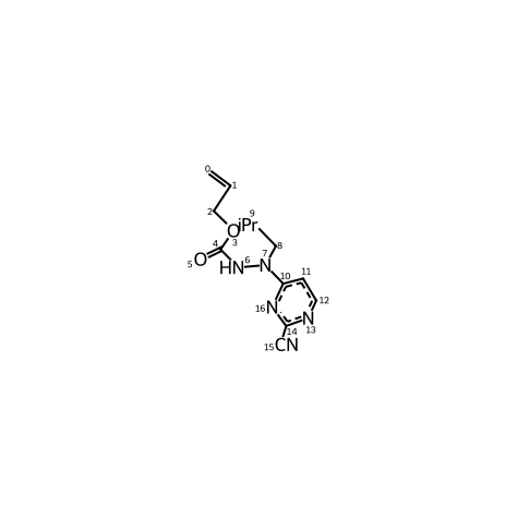 C=CCOC(=O)NN(CC(C)C)c1ccnc(C#N)n1